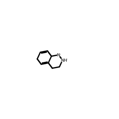 C1=CC2[N]NCCC2=CC1